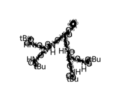 CC(C)(C)OC(=O)NCCOCCN(CCOCCNC(=O)OC(C)(C)C)CC(=O)NCCOCCN(CCOCCNC(=O)CN(CCOCCNC(=O)OC(C)(C)C)CCOCCNC(=O)OC(C)(C)C)CC(=O)OCc1ccccc1